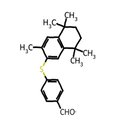 Cc1cc2c(cc1Sc1ccc([C]=O)cc1)C(C)(C)CCC2(C)C